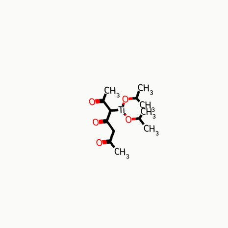 CC(=O)CC(=O)[CH](C(C)=O)[Ti]([O]C(C)C)[O]C(C)C